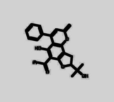 C=C1C=C(c2ccccc2)c2c(O)c(C(=O)C(C)C)c3c(c2O1)CC(C(C)(C)O)O3